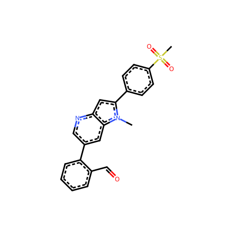 Cn1c(-c2ccc(S(C)(=O)=O)cc2)cc2ncc(-c3ccccc3C=O)cc21